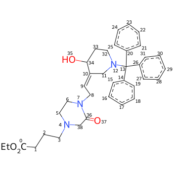 CCOC(=O)CCCN1CCN(CC=C2CN(C(c3ccccc3)(c3ccccc3)c3ccccc3)CCC2O)C(=O)C1